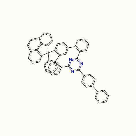 c1ccc(-c2ccc(-c3nc(-c4ccccc4)nc(-c4ccccc4-c4ccc5c(c4)-c4ccccc4C54c5cccc6ccc7cccc4c7c56)n3)cc2)cc1